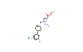 CCOC(=O)/C=C/[C@H](N)Cc1ccc(-c2cc(Cl)cc(Cl)c2)cc1